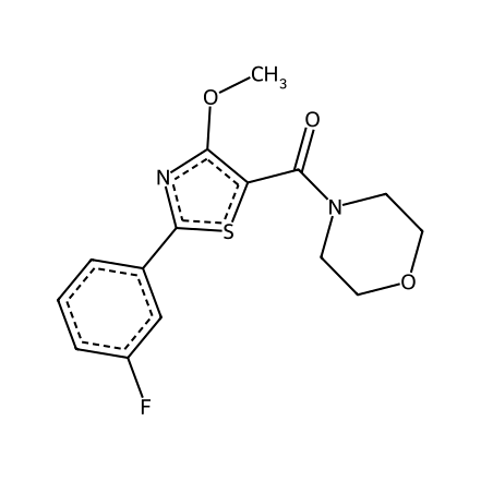 COc1nc(-c2cccc(F)c2)sc1C(=O)N1CCOCC1